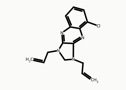 C=CCN1CN(CC=C)c2nc3c(Cl)cccc3nc21